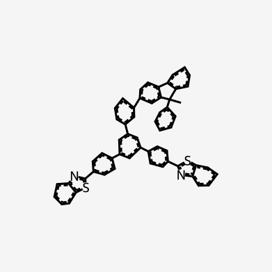 CC1(c2ccccc2)c2ccccc2-c2ccc(-c3cccc(-c4cc(-c5ccc(-c6nc7ccccc7s6)cc5)cc(-c5ccc(-c6nc7ccccc7s6)cc5)c4)c3)cc21